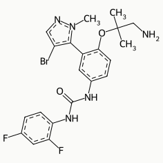 Cn1ncc(Br)c1-c1cc(NC(=O)Nc2ccc(F)cc2F)ccc1OC(C)(C)CN